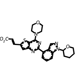 O=C(O)/C=C/c1cc2nc(-c3cccc4c3cnn4C3CCCCO3)nc(N3CCOCC3)c2s1